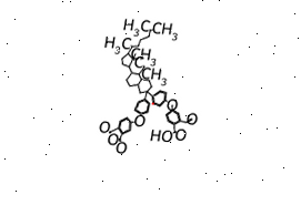 CC(C)CCCC(C)C1CCC2C3CCC4CC(c5ccc(Oc6ccc(C(=O)O)c(C=O)c6)cc5)(c5ccc(Oc6ccc7c(c6)C(=O)OC7=O)cc5)CCC4(C)C3CCC12C